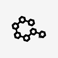 c1ccc(-c2cccc(-c3cccc(-c4cccc(-c5cccc(-c6cccc(-c7ccccn7)c6)c5)c4)c3)c2)cc1